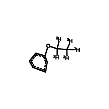 [2H]C([2H])([2H])C([2H])([2H])Oc1ccccc1